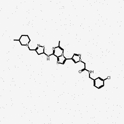 Cc1cn2c(-c3cnn(CC(=O)NCc4cccc(Cl)c4)c3)cnc2c(NC2CC(CN3CCCC(C)C3)=NS2)n1